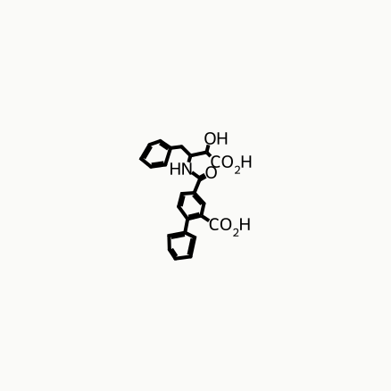 O=C(NC(Cc1ccccc1)C(O)C(=O)O)c1ccc(-c2ccccc2)c(C(=O)O)c1